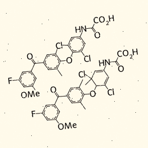 COc1cc(F)cc(C(=O)c2cc(C)c(OC3C(Cl)=CC(NC(=O)C(=O)O)=CC3(C)Cl)c(C)c2)c1.COc1cc(F)cc(C(=O)c2cc(C)c(Oc3c(Cl)cc(NC(=O)C(=O)O)cc3Cl)c(C)c2)c1